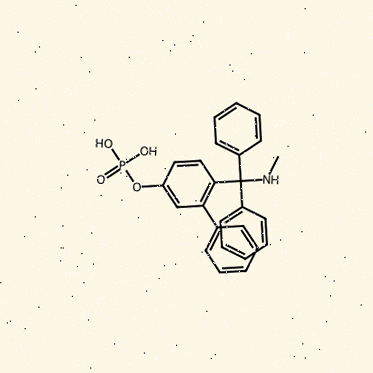 CNC(c1ccccc1)(c1ccccc1)c1ccc(OP(=O)(O)O)cc1-c1ccccc1